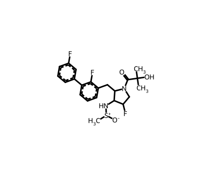 C[S+]([O-])NC1C(F)CN(C(=O)C(C)(C)O)C1Cc1cccc(-c2cccc(F)c2)c1F